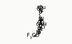 Cc1c(S(=O)(=O)NC(=O)c2ccc(-n3ccc(OCC(C)(C)C(F)(F)F)n3)nc2Cl)cnn1CCCC1CN(C(=O)OC(C)(C)C)C(C)(C)C1